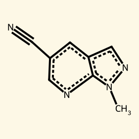 Cn1ncc2cc(C#N)cnc21